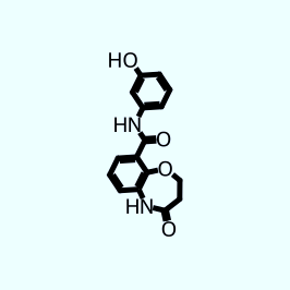 O=C1CCOc2c(cccc2C(=O)Nc2cccc(O)c2)N1